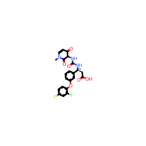 CN1C=CC(=O)C(NC(=O)N[C@@H](CC(=O)O)c2cccc(Oc3ccc(F)cc3F)c2)C1=O